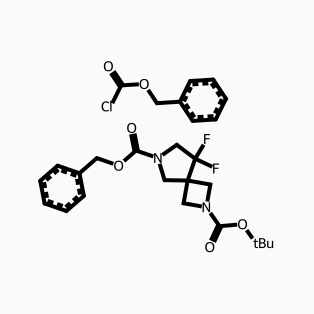 CC(C)(C)OC(=O)N1CC2(CN(C(=O)OCc3ccccc3)CC2(F)F)C1.O=C(Cl)OCc1ccccc1